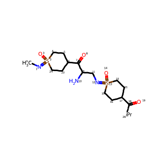 CN=S1(=O)CCC(C(=O)C(N)CN=S2(=O)CCC(C(=O)C(C)C)CC2)CC1